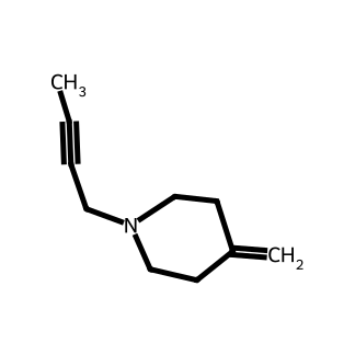 C=C1CCN(CC#CC)CC1